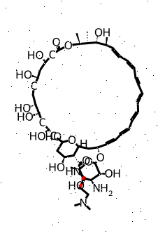 C[C@@H]1[C@H](O)[C@@H](C)/C=C/C=C/C=C/C=C/C=C/C=C/C=C/[C@H](O[C@@H]2O[C@H](C)[C@@H](O)[C@H](N)[C@@H]2O)C[C@@H]2O[C@](O)(C[C@@H](O)C[C@@H](O)[C@H](O)CC[C@@H](O)C[C@@H](O)CC(=O)O[C@H]1C)C[C@H](O)[C@H]2C(=O)NCCCN(C)C